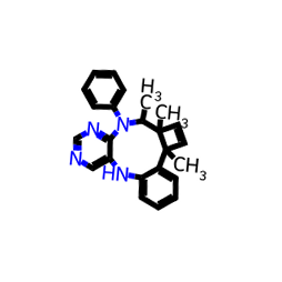 CC1N(c2ccccc2)c2ncncc2Nc2ccccc2C2(C)C=CC12C